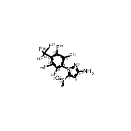 C[S+]([O-])c1cc(N)nn1-c1c(F)c(F)c(C(F)(F)F)c(F)c1F